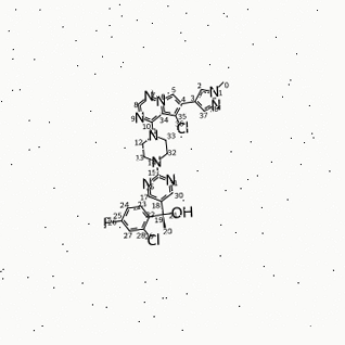 Cn1cc(-c2cn3ncnc(N4CCN(c5ncc([C@](C)(O)c6ccc(F)cc6Cl)cn5)CC4)c3c2Cl)cn1